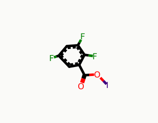 O=C(OI)c1cc(F)cc(F)c1F